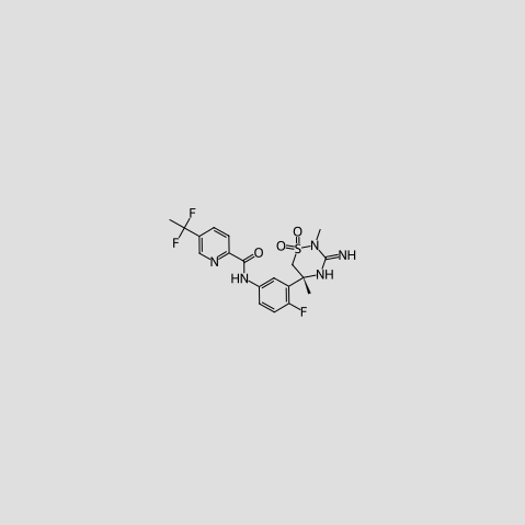 CN1C(=N)N[C@](C)(c2cc(NC(=O)c3ccc(C(C)(F)F)cn3)ccc2F)CS1(=O)=O